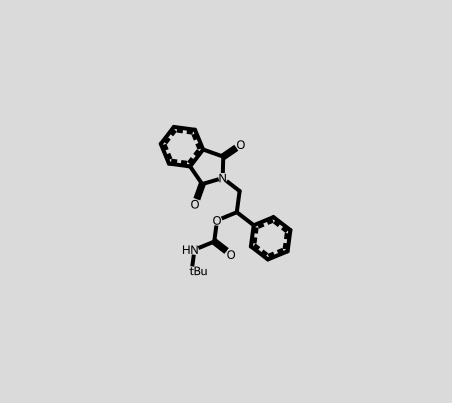 CC(C)(C)NC(=O)OC(CN1C(=O)c2ccccc2C1=O)c1ccccc1